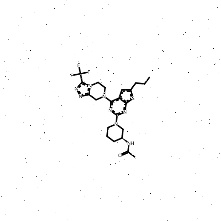 CCCc1cc2c(N3CCn4c(nnc4C(F)(F)F)C3)nc(N3CCC[C@H](NC(C)=O)C3)nc2s1